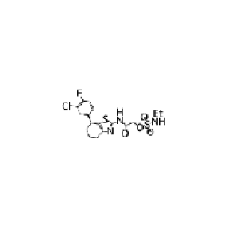 CCNS(=O)(=O)OCC(=O)Nc1nc2c(s1)[C@H](c1ccc(F)c(Cl)c1)CCC2